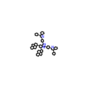 c1ccc(-c2cc(-c3ccc(-c4nc(-c5ccc(-c6cc(-c7ccccc7)c7ccccc7n6)cc5)c5cc(-c6ccc7ccc8cccc9ccc6c7c89)cc(-c6ccc7ccc8cccc9ccc6c7c89)c5n4)cc3)nc3ccccc23)cc1